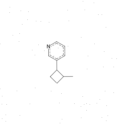 CC1CCC1c1cccnc1